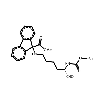 COC(=O)C1(NCCCC[C@@H]([C]=O)NC(=O)OC(C)(C)C)c2ccccc2-c2ccccc21